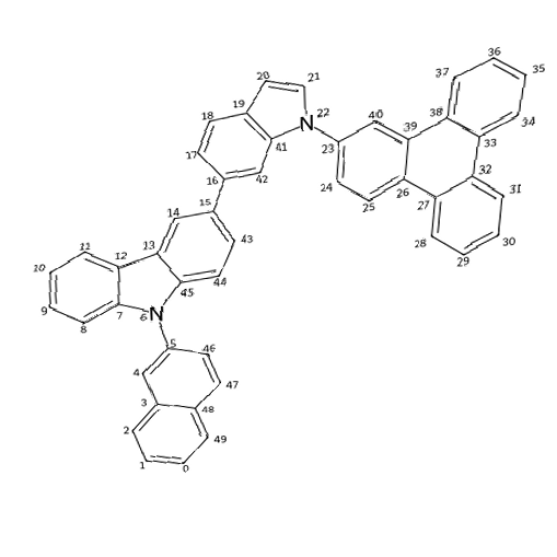 c1ccc2cc(-n3c4ccccc4c4cc(-c5ccc6ccn(-c7ccc8c9ccccc9c9ccccc9c8c7)c6c5)ccc43)ccc2c1